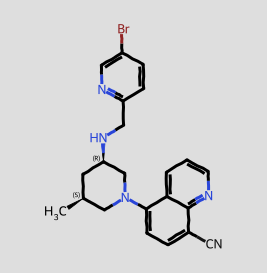 C[C@H]1C[C@@H](NCc2ccc(Br)cn2)CN(c2ccc(C#N)c3ncccc23)C1